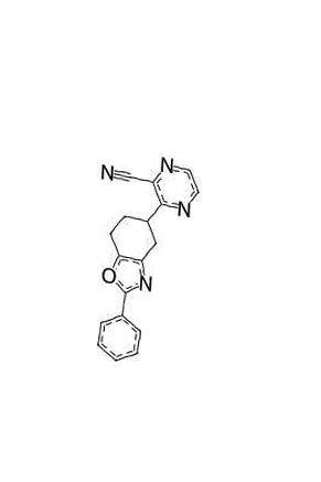 N#Cc1nccnc1C1CCc2oc(-c3ccccc3)nc2C1